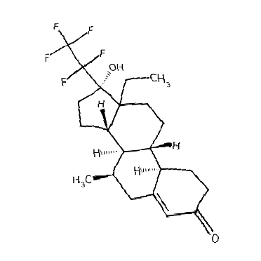 CCC12CC[C@H]3[C@@H]([C@H](C)CC4=CC(=O)CC[C@@H]43)[C@@H]1CC[C@@]2(O)C(F)(F)C(F)(F)F